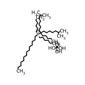 CCCCCCCCCCCCCC[PH](CCCCCC)(CCCCCC)C(CCCCC)(CCCCCC(C)C)CCCCCC(C)C.O=P(O)(O)O